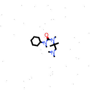 CN(C)CC(C)(C)N(C)C(=O)N(C)C1CCCCC1